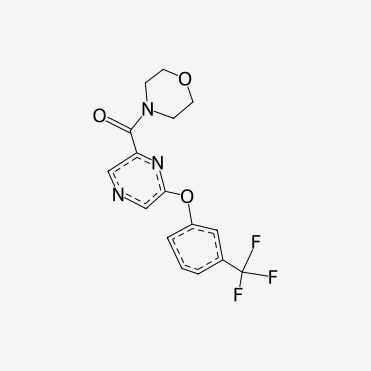 O=C(c1cncc(Oc2cccc(C(F)(F)F)c2)n1)N1CCOCC1